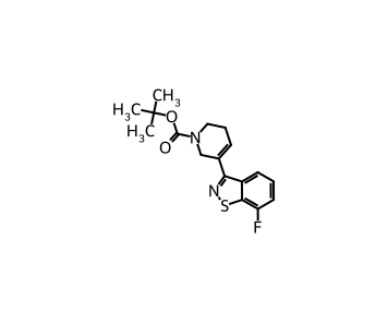 CC(C)(C)OC(=O)N1CCC=C(c2nsc3c(F)cccc23)C1